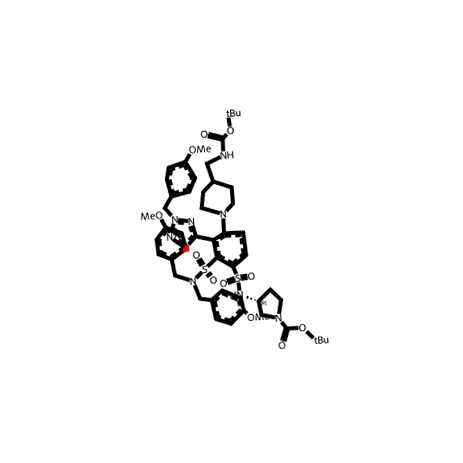 COc1ccc(CN(Cc2ccc(OC)cc2)S(=O)(=O)c2c(S(=O)(=O)N[C@@H]3CCN(C(=O)OC(C)(C)C)C3)ccc(N3CCC(CNC(=O)OC(C)(C)C)CC3)c2-c2nnn(Cc3ccc(OC)cc3)n2)cc1